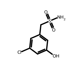 NS(=O)(=O)Cc1cc(O)cc(Cl)c1